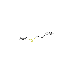 COCCSSC